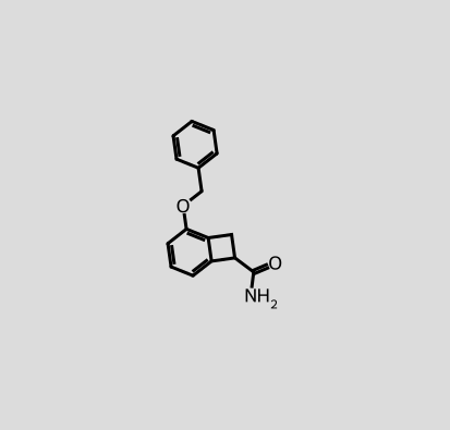 NC(=O)C1Cc2c(OCc3ccccc3)cccc21